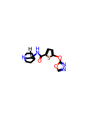 O=C(N[C@H]1CN2CCC1CC2)c1ccc(Oc2nnco2)s1